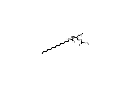 CCCCCCCCCCCCCNC(=O)N[C@@H](COC)COC(N)=O